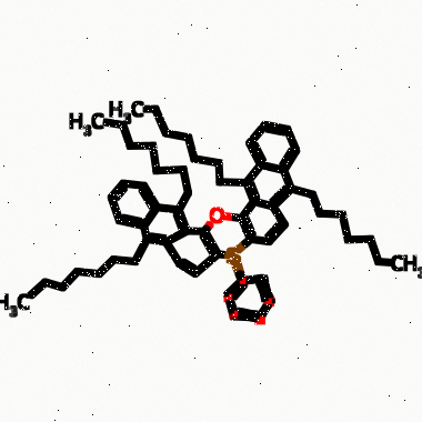 CCCCCCCc1c2ccccc2c(CCCCCCC)c2c(Oc3c(Sc4ccccc4)ccc4c(CCCCCCC)c5ccccc5c(CCCCCCC)c34)c(Sc3ccccc3)ccc12